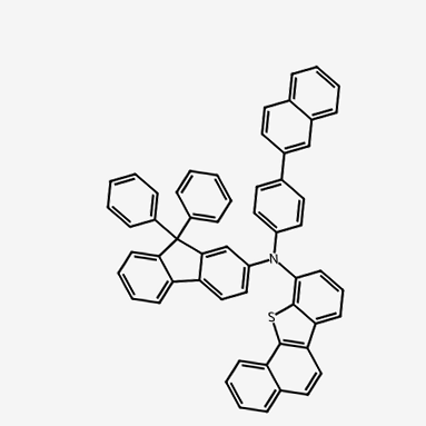 c1ccc(C2(c3ccccc3)c3ccccc3-c3ccc(N(c4ccc(-c5ccc6ccccc6c5)cc4)c4cccc5c4sc4c6ccccc6ccc54)cc32)cc1